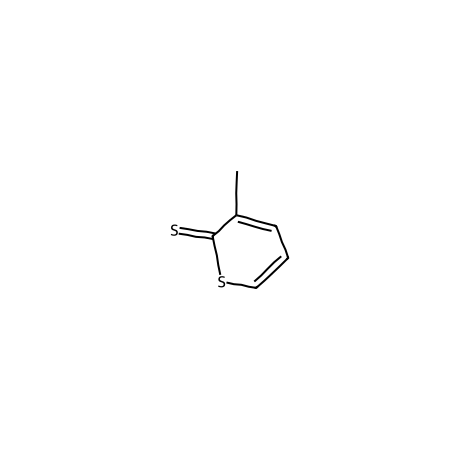 Cc1cccsc1=S